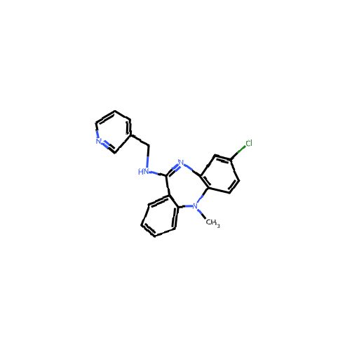 CN1c2ccc(Cl)cc2N=C(NCc2cccnc2)c2ccccc21